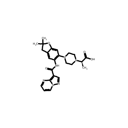 C[C@H](C(=O)O)N1CCN(c2cc3c(cc2NC(=O)c2cnn4cccnc24)CC(C)(C)O3)CC1